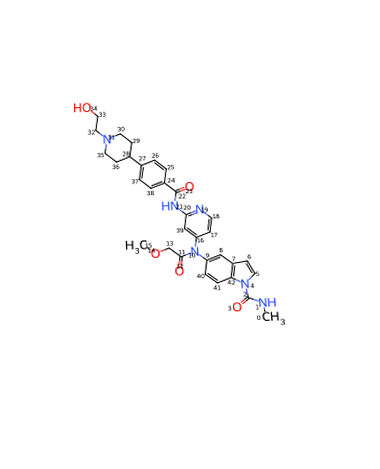 CNC(=O)n1ccc2cc(N(C(=O)COC)c3ccnc(NC(=O)c4ccc(C5CCN(CCO)CC5)cc4)c3)ccc21